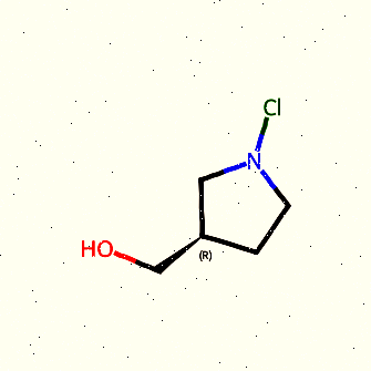 OC[C@@H]1CCN(Cl)C1